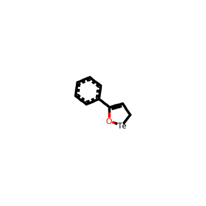 C1=C(c2ccccc2)O[Te]C1